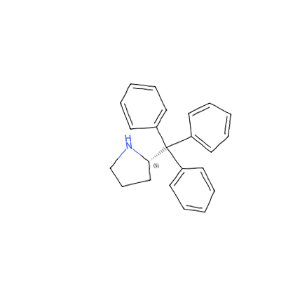 c1ccc(C(c2ccccc2)(c2ccccc2)[C@@H]2CCCN2)cc1